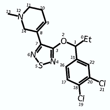 CCC(Oc1nsnc1C1=CCCN(C)C1)c1ccc(Cl)c(Cl)c1